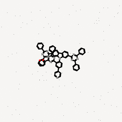 c1ccc(-c2nc(-c3ccccc3)nc(-c3ccc4c5ccc(-c6nc(-c7ccccc7)nc(-c7ccccc7)n6)cc5n(-c5ccc(-c6ccncc6)cc5-c5nc(-c6ccccc6)nc(-c6ccccc6)n5)c4c3)n2)cc1